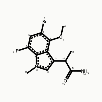 COc1c(Br)cc(F)c2c1c(C(C)C(N)=O)cn2C